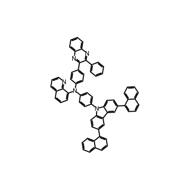 c1ccc(-c2nc3ccccc3nc2-c2ccc(N(c3ccc(-n4c5ccc(-c6cccc7ccccc67)cc5c5cc(-c6cccc7ccccc67)ccc54)cc3)c3cccc4cccnc34)cc2)cc1